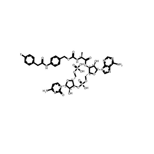 C[C@H](NC(=O)OCc1ccc(NC(=O)Cc2ccc(F)cc2)cc1)C(=O)O[C@H]1[C@@H](O)[C@H](n2cnc3c(N)ncnc32)O[C@@H]1COP(=O)(O)O[C@H]1[C@@H](O)[C@H](n2ccc(N)nc2=O)O[C@@H]1COP(=O)(O)O